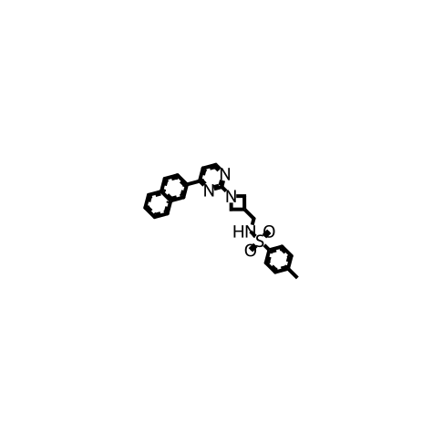 Cc1ccc(S(=O)(=O)NCC2CN(c3nccc(-c4ccc5ccccc5c4)n3)C2)cc1